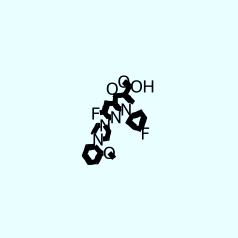 COc1ccccc1N1CCN(c2nc3c(cc2F)c(=O)c(C(=O)O)cn3-c2ccc(F)cc2)CC1